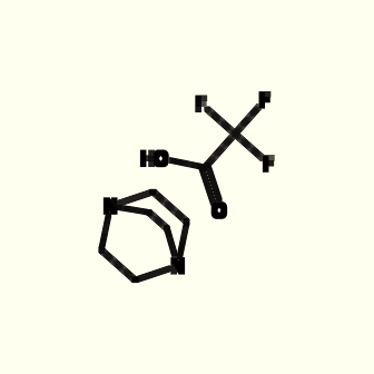 C1CN2CCN1CC2.O=C(O)C(F)(F)F